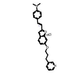 CN(C)c1ccc(/C=C/c2cc3ccc(OCCCc4cccnc4)cc3o2)cc1.Cl